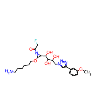 COc1cccc(-c2cn(CC(O)C(O)C(O)C3C(OCCCCCCN)N3C(=O)CF)nn2)c1